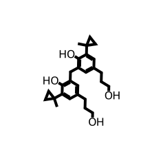 CC1(c2cc(CCCO)cc(Cc3cc(CCCO)cc(C4(C)CC4)c3O)c2O)CC1